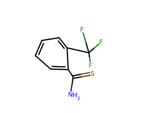 NC(=S)c1ccccc1C(F)(F)F